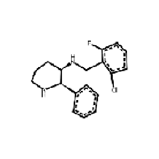 Fc1cccc(Cl)c1CN[C@@H]1CCCN[C@@H]1c1ccccc1